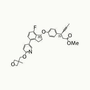 CC#C[C@@H](CC(=O)OC)c1ccc(O[C@@H]2CCc3c(-c4ccc(OCC5(C)COC5)nc4)ccc(F)c32)cc1